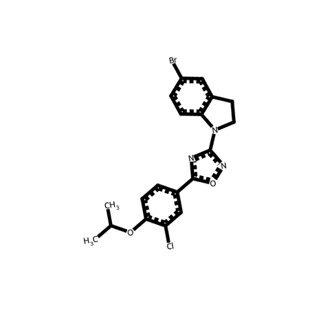 CC(C)Oc1ccc(-c2nc(N3CCc4cc(Br)ccc43)no2)cc1Cl